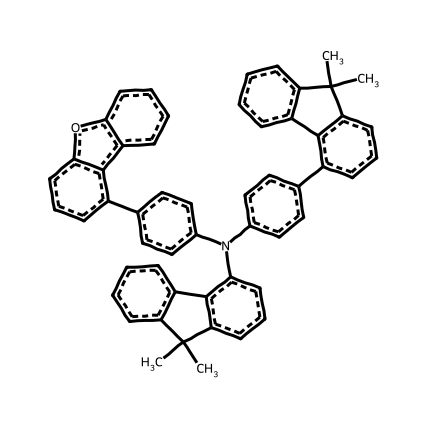 CC1(C)c2ccccc2-c2c(-c3ccc(N(c4ccc(-c5cccc6oc7ccccc7c56)cc4)c4cccc5c4-c4ccccc4C5(C)C)cc3)cccc21